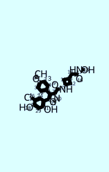 COc1ccc(-c2c(C(=O)NC3CC(CC(=O)NO)C3)noc2-c2cc(Cl)c(O)cc2O)cc1